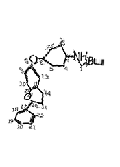 CCC(C)CNC1CCC(Oc2ccc3c(c2)CCC(c2ccccc2)O3)CC1